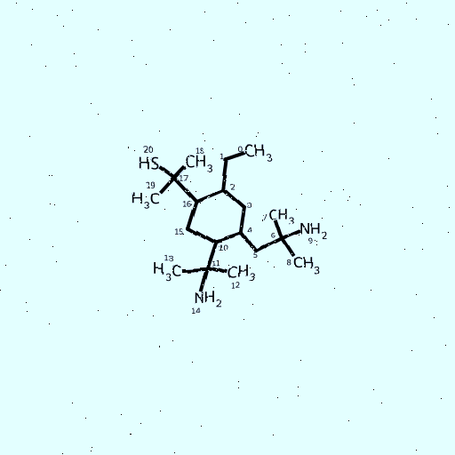 CCC1CC(CC(C)(C)N)C(C(C)(C)N)CC1C(C)(C)S